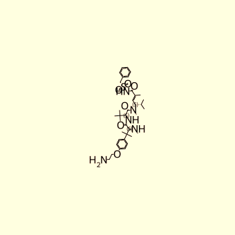 CN[C@H](C(=O)N[C@H](C(=O)N(C)[C@H](C=C(C)C(=O)NS(=O)(=O)Cc1ccccc1)C(C)C)C(C)(C)C)C(C)(C)c1ccc(OCCN)cc1